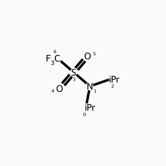 CC(C)N(C(C)C)S(=O)(=O)C(F)(F)F